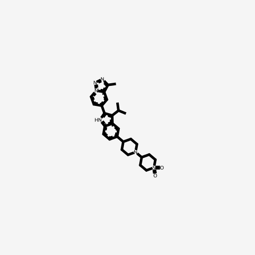 Cc1nnn2ccc(-c3[nH]c4ccc(C5CCN(C6CCS(=O)(=O)CC6)CC5)cc4c3C(C)C)cc12